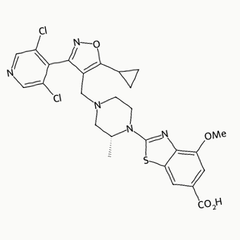 COc1cc(C(=O)O)cc2sc(N3CCN(Cc4c(-c5c(Cl)cncc5Cl)noc4C4CC4)C[C@H]3C)nc12